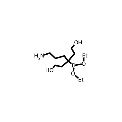 CC[O][Ti]([O]CC)[C](CCO)(CCO)CCCN